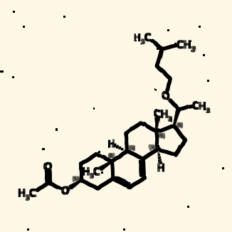 CC(=O)O[C@H]1CC[C@@]2(C)C(=CC=C3[C@@H]4CC[C@H](C(C)OCCC(C)C)[C@@]4(C)CC[C@@H]32)C1